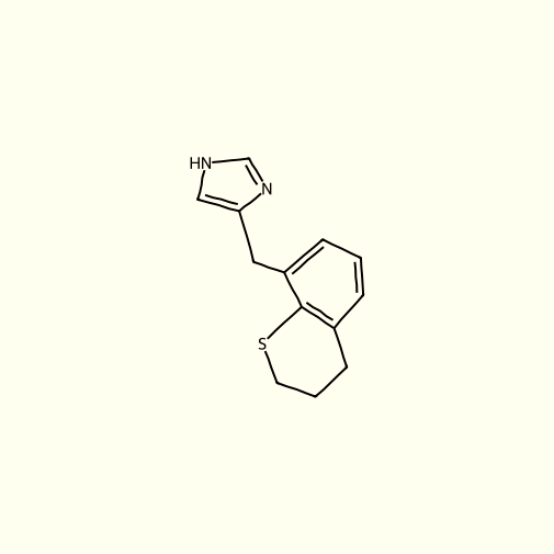 c1cc2c(c(Cc3c[nH]cn3)c1)SCCC2